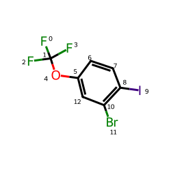 FC(F)(F)Oc1ccc(I)c(Br)c1